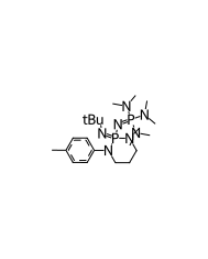 Cc1ccc(N2CCCN(C)P2(=NC(C)(C)C)N=P(N(C)C)(N(C)C)N(C)C)cc1